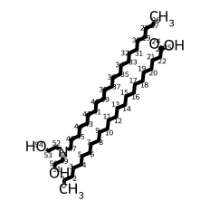 CCCCCCCCCCCCCCCCCCCCCCCC(=O)O.CCCCCCCCCCCCCCCCCCCCCCN(CCO)CCO